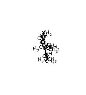 C[C@@H](c1ccc(-n2cc(I)c(N)nc2=O)cc1)N(CCCNC(=O)OC(C)(C)C)C(=O)OC(C)(C)C